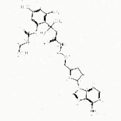 Cc1cc(C)c(C(C)(C)CC(=O)NSOCC2CCC(n3cnc4c(N)ncnc43)O2)c(OC(=O)NCC(=O)O)c1